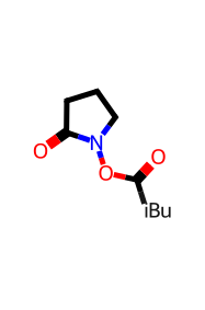 CCC(C)C(=O)ON1CCCC1=O